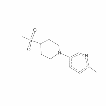 Cc1ccc(N2CCC(S(C)(=O)=O)CC2)cn1